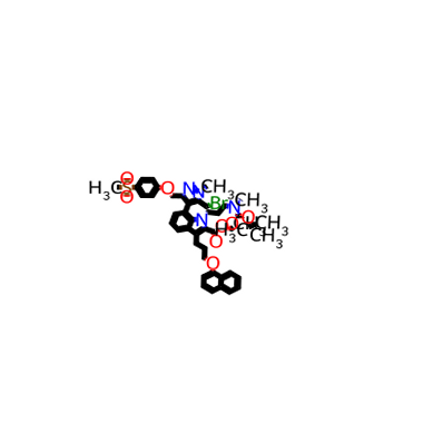 CCOC(=O)c1c(CCCOc2cccc3ccccc23)c2cccc(-c3c(COc4ccc(S(C)(=O)=O)cc4)nn(C)c3CBr)c2n1CCCN(C)C(=O)OC(C)(C)C